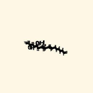 CCCCCCCCCCCCC(O)CCC(O)CC